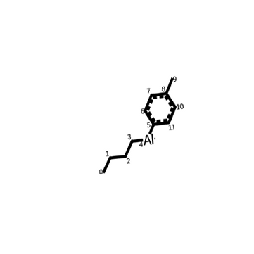 CCC[CH2][Al][c]1ccc(C)cc1